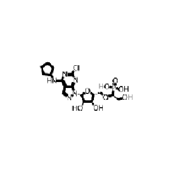 O=P(O)(O)[C@@H](CO)OC[C@H]1O[C@@H](n2ncc3c(NC4CCCC4)nc(Cl)nc32)[C@H](O)[C@@H]1O